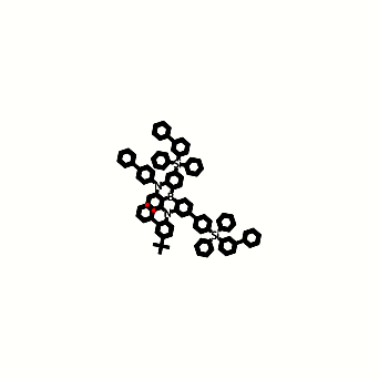 CC(C)(C)c1ccc(N2c3cc(-c4ccc([Si](c5ccccc5)(c5ccccc5)c5cccc(-c6ccccc6)c5)cc4)ccc3B3c4ccc([Si](c5ccccc5)(c5ccccc5)c5cccc(-c6ccccc6)c5)cc4N(c4ccc(-c5ccccc5)cc4)c4cccc2c43)c(-c2ccccc2)c1